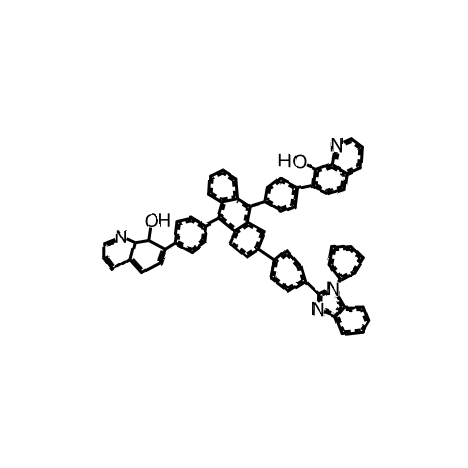 Oc1c(-c2ccc(-c3c4ccccc4c(-c4ccc(C5=CC=C6C=CC=NC6C5O)cc4)c4ccc(-c5ccc(-c6nc7ccccc7n6-c6ccccc6)cc5)cc34)cc2)ccc2cccnc12